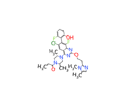 C=CC(=O)N1C[C@H](C)N(c2nc(OCCc3ncc(C)n3C)nc3c(F)c(-c4c(O)cccc4F)c(Cl)cc23)C[C@H]1C